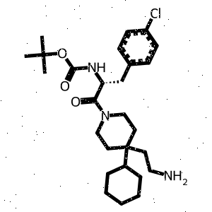 CC(C)(C)OC(=O)N[C@H](Cc1ccc(Cl)cc1)C(=O)N1CCC(CCN)(C2CCCCC2)CC1